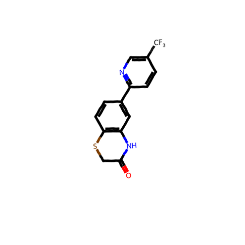 O=C1CSc2ccc(-c3ccc(C(F)(F)F)cn3)cc2N1